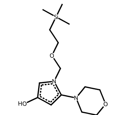 C[Si](C)(C)CCOCn1cc(O)cc1N1CCOCC1